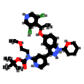 COCCN(C(=O)OC(C)(C)C)c1cc(-c2nn(C3CCCCO3)c3ccc(O[C@H](C)c4c(Cl)cncc4Cl)cc23)ccn1